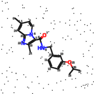 Cc1ccn2c(C(=O)NCc3cccc(OC(C)C)c3)c(C)nc2c1